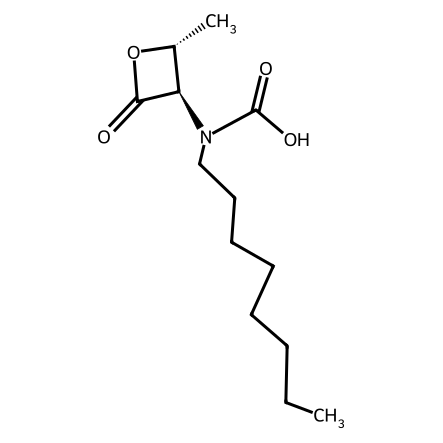 CCCCCCCCN(C(=O)O)[C@H]1C(=O)O[C@@H]1C